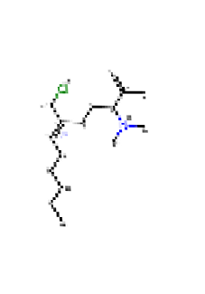 C=C(C)C(CC/C(=C\CCCCC)CCl)N(C)C